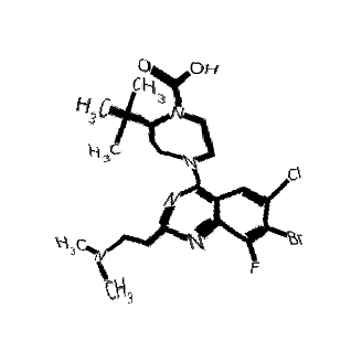 CN(C)CCc1nc(N2CCN(C(=O)O)C(C(C)(C)C)C2)c2cc(Cl)c(Br)c(F)c2n1